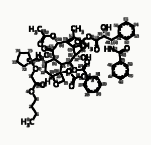 CCCCOC(=O)CO[Si]1(O[C@H]2C[C@H]3OC[C@@]3(OC(C)=O)C3[C@H](OC(=O)c4ccccc4)[C@]4(O)C[C@H](OC(=O)[C@H](O)[C@@H](NC(=O)c5ccccc5)c5ccccc5)C(C)=C([C@@H](OC(C)=O)C(=O)[C@@]32C)C4(C)C)CCCC1